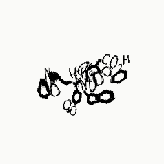 C[C@H]([C@H](CC=Cc1nc2ccccc2o1)c1ccc2c(c1)OCO2)N(Cc1ccc2ccccc2c1)C(=O)C(O)=C(CC(=O)O)C(=O)OC1CCCCC1